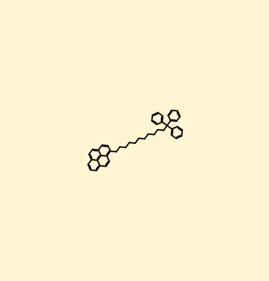 c1ccc(C(CCCCCCCCCCCc2ccc3ccc4cccc5ccc2c3c45)(c2ccccc2)c2ccccc2)cc1